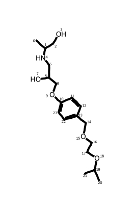 CC(CO)NCC(O)COc1ccc(COCCOC(C)C)cc1